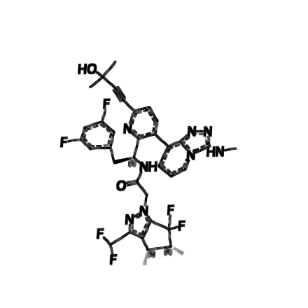 CNc1nnc2c(-c3ccc(C#CC(C)(C)O)nc3[C@H](Cc3cc(F)cc(F)c3)NC(=O)Cn3nc(C(F)F)c4c3C(F)(F)[C@H](C)[C@@H]4C)cccn12